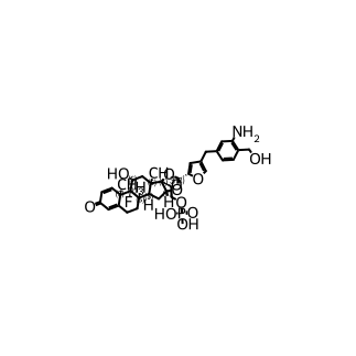 C[C@]12C=CC(=O)C=C1CC[C@H]1[C@@H]3C[C@H]4O[C@@H](c5cc(Cc6ccc(CO)c(N)c6)co5)O[C@@]4(C(=O)COP(=O)(O)O)[C@@]3(C)C[C@H](O)[C@@]12F